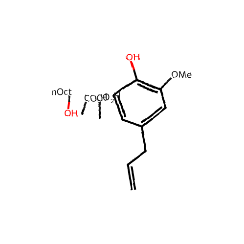 C=CCc1ccc(O)c(OC)c1.CC(=O)O.CC(=O)O.CCCCCCCCO